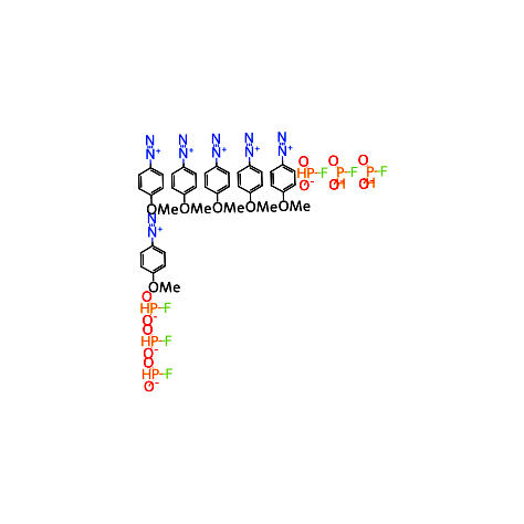 COc1ccc([N+]#N)cc1.COc1ccc([N+]#N)cc1.COc1ccc([N+]#N)cc1.COc1ccc([N+]#N)cc1.COc1ccc([N+]#N)cc1.COc1ccc([N+]#N)cc1.O=[PH]([O-])F.O=[PH]([O-])F.O=[PH]([O-])F.O=[PH]([O-])F.O=[PH]([O-])F.O=[PH]([O-])F